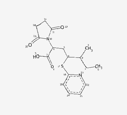 CCC(C)C(CC(C(=O)O)N1C(=O)CCC1=O)Sc1ccccn1